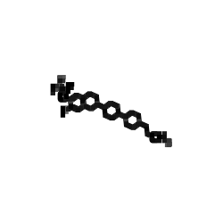 CCCC1CCC(C2CCC(C3CCc4cc(OC(F)(F)F)c(F)cc4C3)CC2)CC1